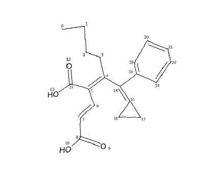 CCCCC(=C(C=CC(=O)O)C(=O)O)C(=C1CC1)c1ccccc1